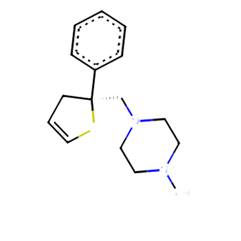 CN1CCN(C[C@@]2(c3ccccc3)CC=CS2)CC1